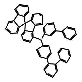 c1ccc(-c2cccc(N(c3ccc(-c4ccccc4-c4ccccc4)cc3)c3cccc4c3-c3ccccc3C43c4ccccc4-c4ccccc43)c2)cc1